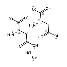 Cl.N[C@@H](CC(=O)O)C(=O)[O-].N[C@@H](CC(=O)O)C(=O)[O-].[Ba+2]